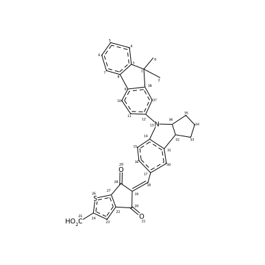 CC1(C)c2ccccc2-c2ccc(N3c4ccc(C=C5C(=O)c6cc(C(=O)O)sc6C5=O)cc4C4CCCC43)cc21